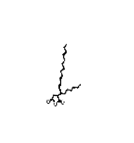 CCC=CCCCCC=CC=CC(CCCCCC)C1CC(=O)OC1=O